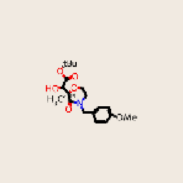 COc1ccc(CN2CCO[C@](C)(C(O)C(=O)OC(C)(C)C)C2=O)cc1